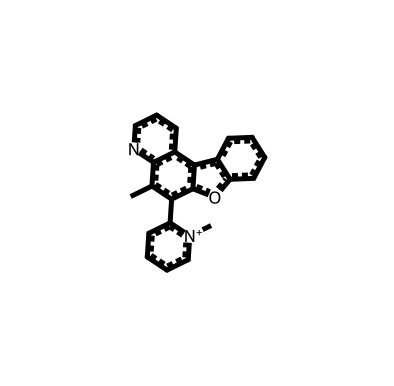 Cc1c(-c2cccc[n+]2C)c2oc3ccccc3c2c2cccnc12